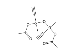 C#C[Si](C)(OC(C)=O)O[Si](C)(C#C)OC(C)=O